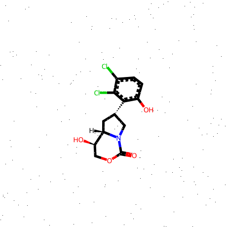 O=C1OC[C@@H](O)[C@@H]2C[C@H](c3c(O)ccc(Cl)c3Cl)CN12